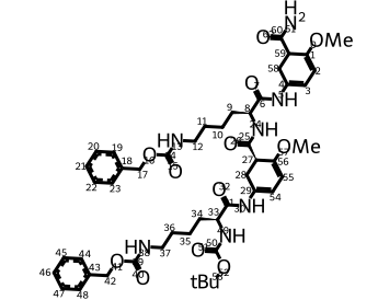 COC1=CC=C(NC(=O)[C@H](CCCCNC(=O)OCc2ccccc2)NC(=O)[C@@H]2CC(NC(=O)[C@H](CCCCNC(=O)OCc3ccccc3)NC(=O)OC(C)(C)C)=CC=C2OC)CC1C(N)=O